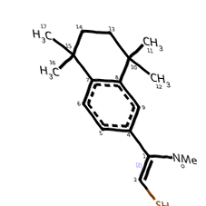 CN/C(=C\S)c1ccc2c(c1)C(C)(C)CCC2(C)C